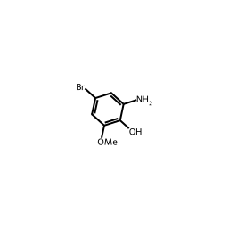 COc1cc(Br)cc(N)c1O